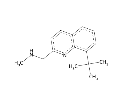 CNCc1ccc2cccc(C(C)(C)C)c2n1